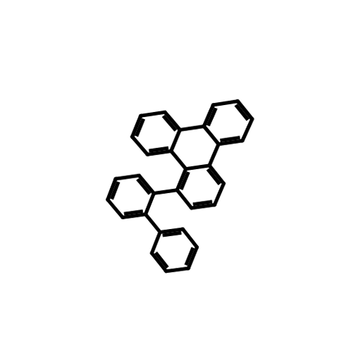 c1ccc(-c2ccccc2-c2cccc3c4ccccc4c4ccccc4c23)cc1